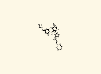 OC[CH]Cc1ccc(Nc2c(-c3nnc(NCCN4CCOCC4)o3)ccc(F)c2F)c(F)c1